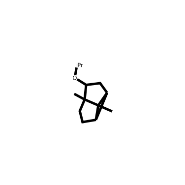 CC(C)OC1CC2C3CCC1(C)C32C